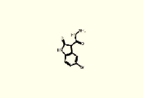 NNC(=O)C1C(=O)Nc2ccc(Br)cc21